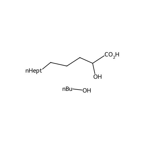 CCCCCCCCCCC(O)C(=O)O.CCCCO